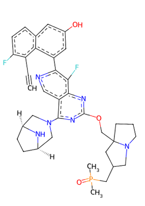 C#Cc1c(F)ccc2cc(O)cc(-c3ncc4c(N5C[C@H]6CC[C@@H](C5)N6)nc(OCC56CCCN5CC(CP(C)(C)=O)C6)nc4c3F)c12